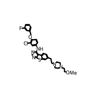 COCCN1CCN(CCc2ccc3c(c2)sc2ncnc(Nc4ccc(OCc5cccc(F)c5)c(Cl)c4)c23)CC1